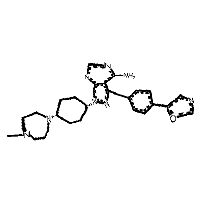 CN1CCN([C@H]2CC[C@@H](n3nc(-c4ccc(-c5cnco5)cc4)c4c(N)ncnc43)CC2)CC1